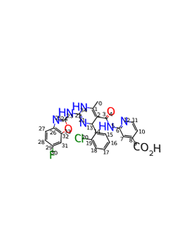 CC1=C(C(=O)Nc2cc(C(=O)O)ccn2)C(c2ccccc2Cl)N=C(Nc2nc3ccc(F)cc3o2)N1